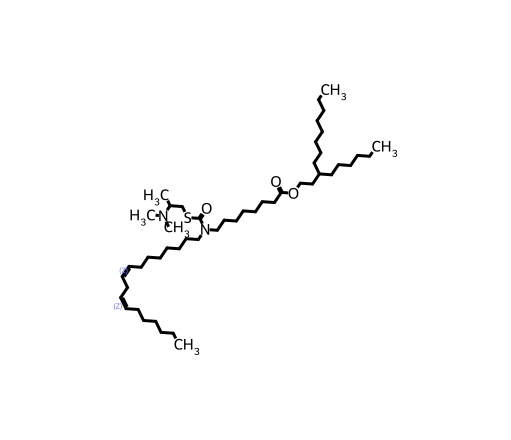 CCCCCC/C=C\C/C=C\CCCCCCCN(CCCCCCCC(=O)OCCC(CCCCCC)CCCCCCCC)C(=O)SCC(C)N(C)C